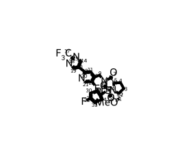 COC[C@H]1CC[C@@H](C(=O)NCc2cc(-c3cnc(C(F)(F)F)nc3)ncc2F)N1S(=O)(=O)c1ccc(F)cc1